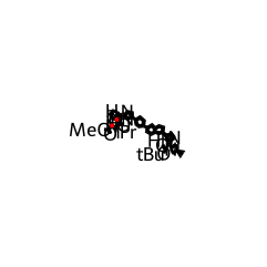 COC(=O)N[C@H](C(=O)N1[C@H]2CCC(C2)[C@H]1c1ncc(-c2ccc(-c3ccc4cc(-c5cnc([C@@H]6CC7(CC7)CN6C(=O)OC(C)(C)C)[nH]5)ccc4c3)cc2)[nH]1)C(C)C